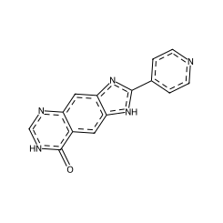 O=c1[nH]cnc2cc3nc(-c4ccncc4)[nH]c3cc12